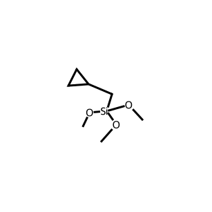 CO[Si](CC1CC1)(OC)OC